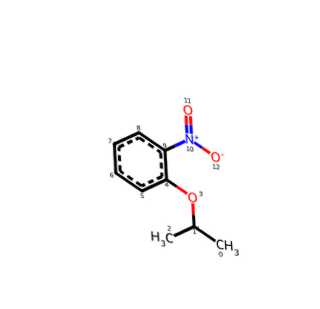 C[C](C)Oc1ccccc1[N+](=O)[O-]